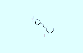 FC(F)(F)Oc1ccc(/C=C/C2/C=C(Br)\C=C/CCC2)cc1